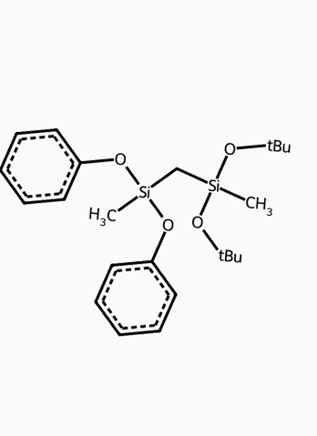 CC(C)(C)O[Si](C)(C[Si](C)(Oc1ccccc1)Oc1ccccc1)OC(C)(C)C